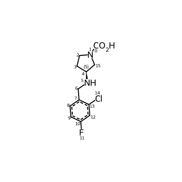 O=C(O)N1CC[C@H](NCc2ccc(F)cc2Cl)C1